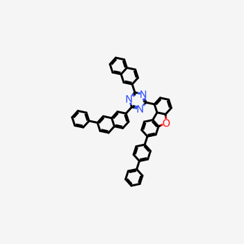 C1=CC2Oc3cc(-c4ccc(-c5ccccc5)cc4)ccc3C2C(c2nc(-c3ccc4ccccc4c3)nc(-c3ccc4ccc(-c5ccccc5)cc4c3)n2)=C1